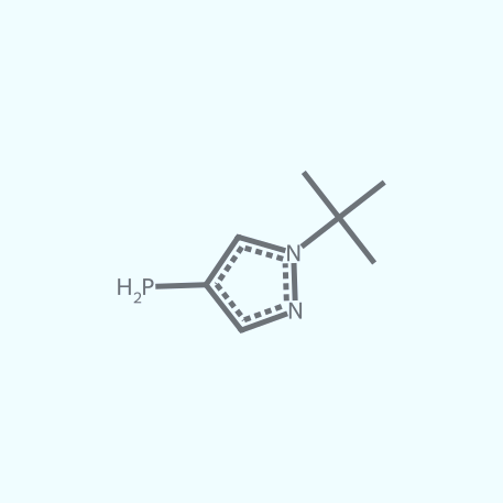 CC(C)(C)n1cc(P)cn1